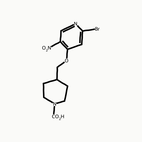 O=C(O)N1CCC(COc2cc(Br)ncc2[N+](=O)[O-])CC1